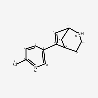 Clc1ccc(C2=CC3CC2CCN3)cn1